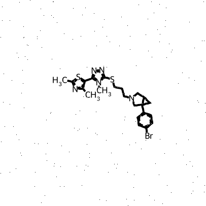 Cc1nc(C)c(-c2nnc(SCCCN3CC4CC4(c4ccc(Br)cc4)C3)n2C)s1